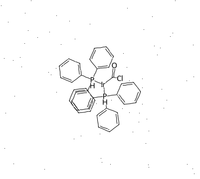 O=[C](Cl)[Ir]([PH](c1ccccc1)(c1ccccc1)c1ccccc1)[PH](c1ccccc1)(c1ccccc1)c1ccccc1